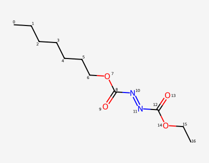 CCCCCCCOC(=O)N=NC(=O)OCC